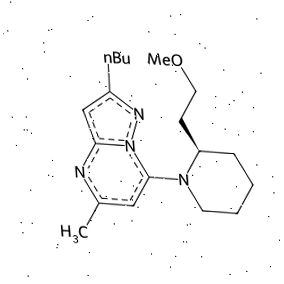 CCCCc1cc2nc(C)cc(N3CCCC[C@@H]3CCOC)n2n1